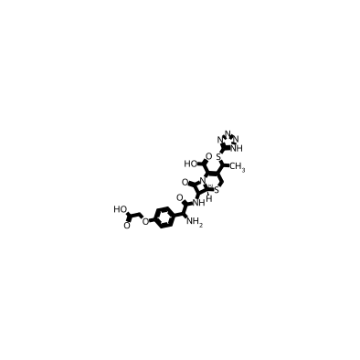 CC(Sc1nnn[nH]1)C1=C(C(=O)O)N2C(=O)C(NC(=O)C(N)c3ccc(OCC(=O)O)cc3)[C@@H]2SC1